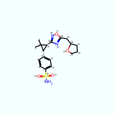 CC1(C)[C@@H](c2ccc(S(N)(=O)=O)cc2)[C@@H]1c1noc(CC2CCCO2)n1